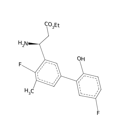 CCOC(=O)C[C@H](N)c1cc(-c2cc(F)ccc2O)cc(C)c1F